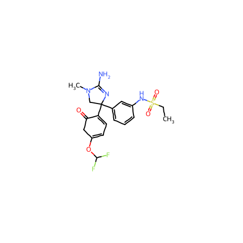 CCS(=O)(=O)Nc1cccc(C2(C3=CC=C(OC(F)F)CC3=O)CN(C)C(N)=N2)c1